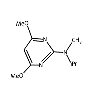 COc1cc(OC)nc(N(C)C(C)C)n1